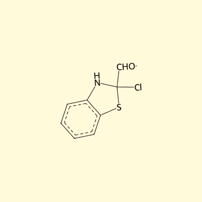 O=[C]C1(Cl)Nc2ccccc2S1